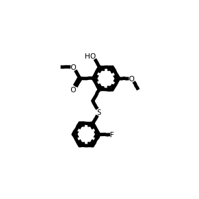 COC(=O)c1c(O)cc(OC)cc1CSc1ccccc1F